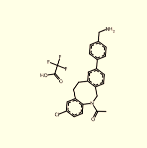 CC(=O)N1Cc2ccc(-c3ccc(CN)cc3)cc2CCc2cc(Cl)ccc21.O=C(O)C(F)(F)F